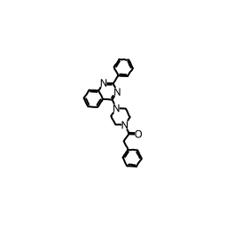 O=C(Cc1ccccc1)N1CCN(c2nc(-c3ccccc3)nc3ccccc23)CC1